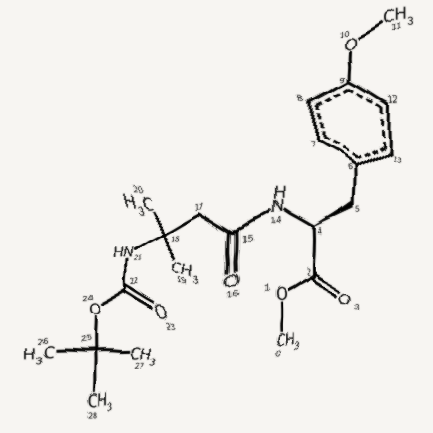 COC(=O)[C@H](Cc1ccc(OC)cc1)NC(=O)CC(C)(C)NC(=O)OC(C)(C)C